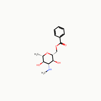 CN[C@@H]1[C@@H](O)[C@H](C)O[C@H](COC(=O)c2ccccc2)[C@H]1O